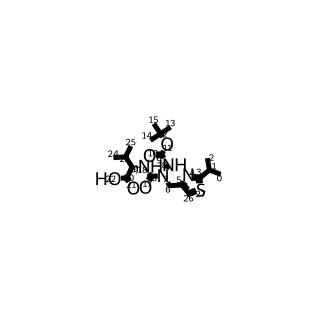 CC(C)c1nc(CN(NC(=O)OC(C)(C)C)C(=O)N[C@H](C(=O)O)C(C)C)cs1